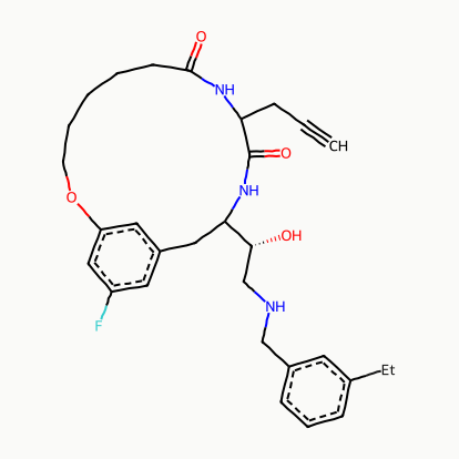 C#CCC1NC(=O)CCCCCOc2cc(F)cc(c2)CC([C@H](O)CNCc2cccc(CC)c2)NC1=O